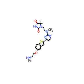 CC(C)NCCOc1ccc2sc(-c3ccnc(N(CCN4C(=O)NC(=O)C4(C)C)C(F)(F)F)n3)cc2c1